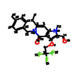 CCc1cc2c(c(OCC(F)(F)F)c(C=O)n2C)c(=O)n1Cc1ccc(C)cc1